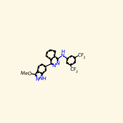 COc1n[nH]c2cc(-c3nnc(Nc4cc(C(F)(F)F)cc(C(F)(F)F)c4)c4ccccc34)ccc12